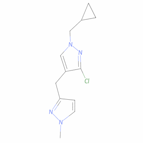 Cn1ccc(Cc2cn(CC3CC3)nc2Cl)n1